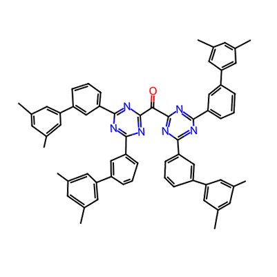 Cc1cc(C)cc(-c2cccc(-c3nc(C(=O)c4nc(-c5cccc(-c6cc(C)cc(C)c6)c5)nc(-c5cccc(-c6cc(C)cc(C)c6)c5)n4)nc(-c4cccc(-c5cc(C)cc(C)c5)c4)n3)c2)c1